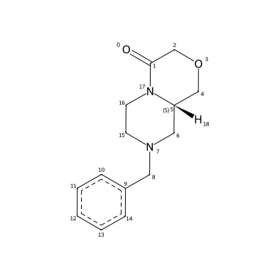 O=C1COC[C@@H]2CN(Cc3ccccc3)CCN12